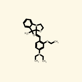 CCOc1cc(N(CC)CC)ccc1C=CC12OCCN1c1ccccc1C2(C)C